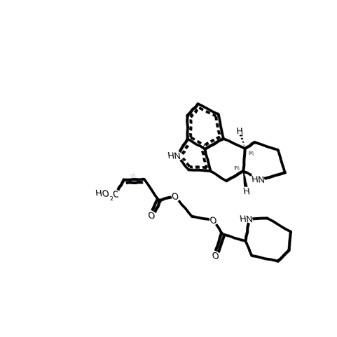 O=C(O)/C=C\C(=O)OCOC(=O)C1CCCCCN1.c1cc2c3c(c[nH]c3c1)C[C@H]1NCCC[C@H]21